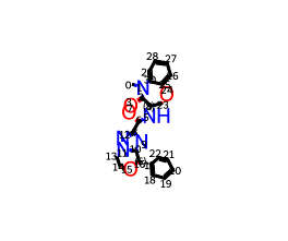 CN1C(=O)[C@@H](NC(=O)c2nc3n(n2)CCO[C@H]3c2ccccc2)COc2ccccc21